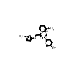 CC(C)[C@H]1CC[C@@H](OC[C@H]2[C@@H](N)CCCN2C(=O)COc2ccn(C)n2)CC1